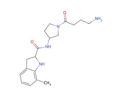 Cc1cccc2c1NC(C(=O)NC1CCN(C(=O)CCCN)C1)C2